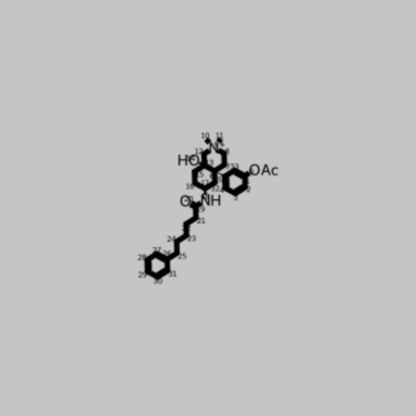 CC(=O)Oc1cccc([C@@]23CC[N+](C)(C)C[C@@]2(O)CC[C@H](NC(=O)CCCCCc2ccccc2)C3)c1